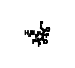 O=C(CF)C(F)(F)C(=O)C(F)(F)F.[BiH3]